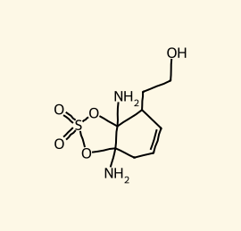 NC12CC=CC(CCO)C1(N)OS(=O)(=O)O2